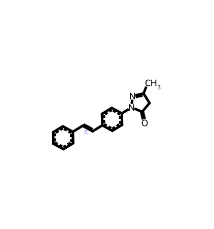 CC1=NN(c2ccc(/C=C/c3ccccc3)cc2)C(=O)C1